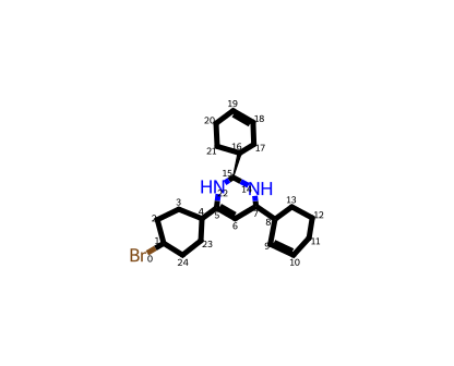 BrC1CCC(C2=CC(C3C=CCCC3)N[C@H](C3CC=CCC3)N2)CC1